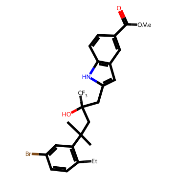 CCc1ccc(Br)cc1C(C)(C)CC(O)(Cc1cc2cc(C(=O)OC)ccc2[nH]1)C(F)(F)F